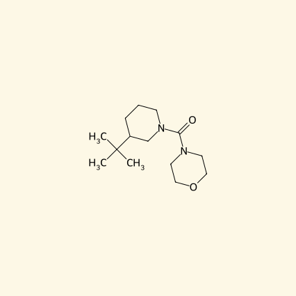 CC(C)(C)C1CCCN(C(=O)N2CCOCC2)C1